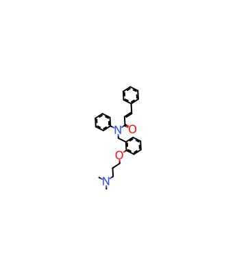 CN(C)CCCOc1ccccc1CN(C(=O)C=Cc1ccccc1)c1ccccc1